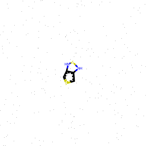 c1scc2c1NSN2